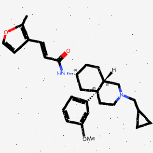 COc1cccc([C@@]23CCN(CC4CC4)C[C@H]2CC[C@@H](NC(=O)C=Cc2ccoc2C)C3)c1